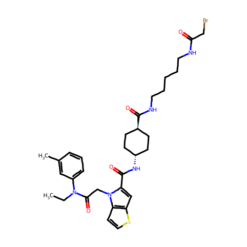 CCN(C(=O)Cn1c(C(=O)N[C@H]2CC[C@H](C(=O)NCCCCCNC(=O)CBr)CC2)cc2sccc21)c1cccc(C)c1